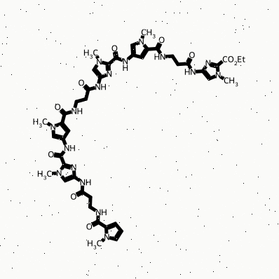 CCOC(=O)c1nc(NC(=O)CCNC(=O)c2cc(NC(=O)c3nc(NC(=O)CCNC(=O)c4cc(NC(=O)c5nc(NC(=O)CCNC(=O)c6cccn6C)cn5C)cn4C)cn3C)cn2C)cn1C